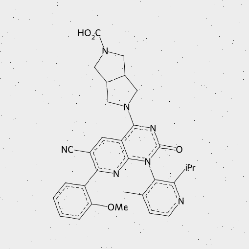 COc1ccccc1-c1nc2c(cc1C#N)c(N1CC3CN(C(=O)O)CC3C1)nc(=O)n2-c1c(C)ccnc1C(C)C